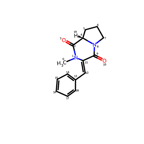 CN1C(=O)[C@@H]2CCCN2C(=O)/C1=C/c1ccccc1